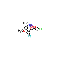 COc1ccc(C(C)C)cc1-c1ccc(C(F)(F)F)cc1C(CC(O)c1ccc(Cl)cc1)OC(N)=O